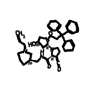 C=CCN1CCC[C@H](CNC(=O)[C@H]2C(=C=O)CCN2[C@@H]2C[C@@H](O)CN2C(=O)CC(c2ccccc2)(c2ccccc2)c2ccccc2)C1